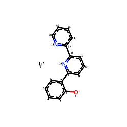 [Li+].[O-]c1ccccc1-c1cccc(-c2ccccn2)n1